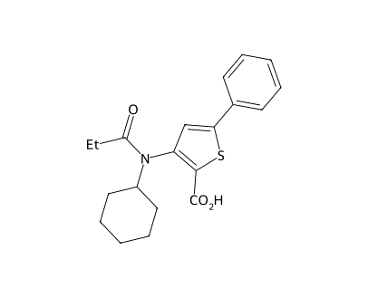 CCC(=O)N(c1cc(-c2ccccc2)sc1C(=O)O)C1CCCCC1